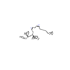 CCCCCCCCC(O)C(C/C=C\C/C=C\CCC[C]=O)[N+](=O)[O-]